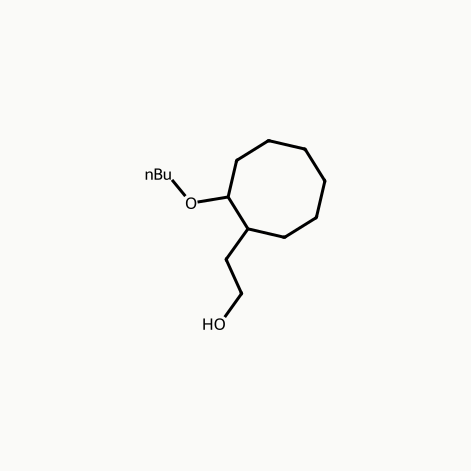 CCCCOC1CCCCCCC1CCO